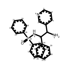 NC(c1cccnc1)C(NP(=O)(c1ccccc1)c1ccccc1)c1ccccc1